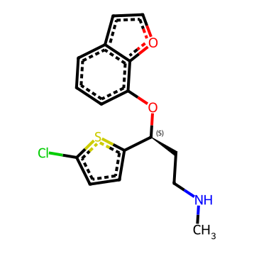 CNCC[C@H](Oc1cccc2ccoc12)c1ccc(Cl)s1